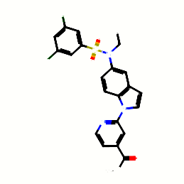 COC(=O)c1ccnc(-n2ccc3cc(N(CC(=O)O)S(=O)(=O)c4cc(Cl)cc(Cl)c4)ccc32)c1